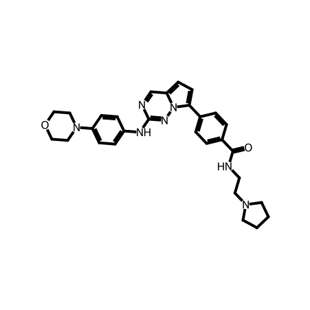 O=C(NCCN1CCCC1)c1ccc(-c2ccc3cnc(Nc4ccc(N5CCOCC5)cc4)nn23)cc1